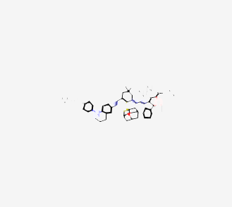 COc1ccc(N2CCCc3cc(/C=C/C4=C(SC56CC7CC(CC(C7)C5)C6)C(=C/C=C/C5=C(C#N)C(=C(C#N)C#N)OC5(c5ccccc5)C(F)(F)F)/CC(C)(C)C4)ccc32)cc1